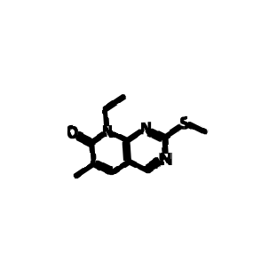 CCn1c(=O)c(C)cc2cnc(SC)nc21